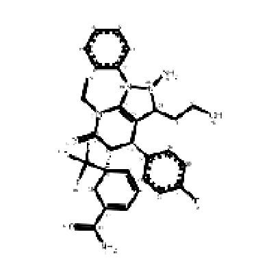 CCN1C(=O)[C@@H](C2(C(F)(F)F)C=CC=C(C(N)=O)C2)[C@H](c2ccc(F)cc2)C2=C1N(c1ccccc1)N(N)C2CCO